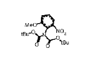 COc1cccc([N+](=O)[O-])c1N(C(=O)OC(C)(C)C)C(=O)OC(C)(C)C